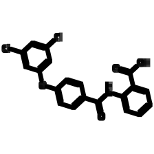 O=C(Nc1ccccc1C(=O)O)c1ccc(Oc2cc(Cl)cc(Cl)c2)cc1